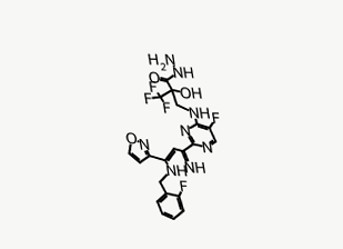 N=C(/C=C(\NCc1ccccc1F)c1ccon1)c1ncc(F)c(NCC(O)(C(=O)NN)C(F)(F)F)n1